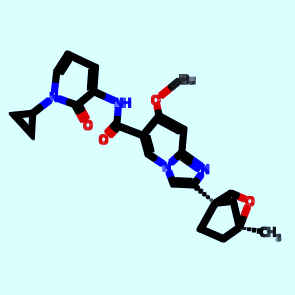 CCC(C)Oc1cc2nc([C@@]34CC[C@@](C)(C3)OC4)cn2cc1C(=O)Nc1cccn(C2CC2)c1=O